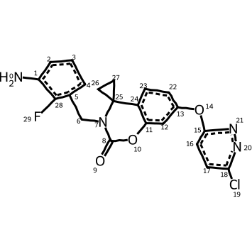 Nc1cccc(CN2C(=O)Oc3cc(Oc4ccc(Cl)nn4)ccc3C23CC3)c1F